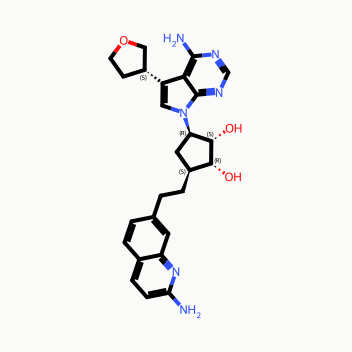 Nc1ccc2ccc(CC[C@H]3C[C@@H](n4cc([C@@H]5CCOC5)c5c(N)ncnc54)[C@H](O)[C@@H]3O)cc2n1